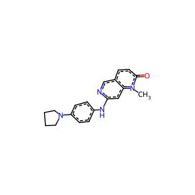 Cn1c(=O)ccc2cnc(Nc3ccc(N4CCCC4)cc3)cc21